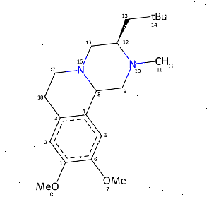 COc1cc2c(cc1OC)C1CN(C)[C@H](CC(C)(C)C)CN1CC2